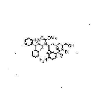 CCN([C@H](CO)CCC[C@H](C1CC1)N(C(=O)OC)C(=O)[C@@H](N)C(c1ccccc1)c1ccccc1)S(=O)(=O)c1ccc(N)cc1